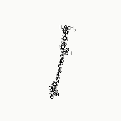 CN(C)c1ccc(-c2ccc(-c3nc4ccc(N(CCOCCOCCOCCOCCOCCOc5ccc6c(c5)CN(C5CCC(=O)NC5=O)C6=O)C(=O)O)cc4s3)cc2)cn1